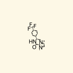 Cn1cc[n+]2cc(-c3ccc(C(F)(F)F)cc3)[nH]c(=O)c12